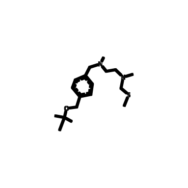 CSCN(C)CCN(C)Cc1ccc(COC(C)(C)C)cc1